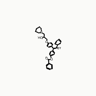 CC/C(=C(/c1ccc(OCC(O)CN2CCCCC2)cc1)c1ccc(OC(=O)c2ccccc2)cc1)c1ccccc1